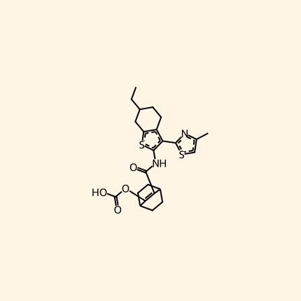 CCC1CCc2c(sc(NC(=O)C3=C(OC(=O)O)C4CCC3CC4)c2-c2nc(C)cs2)C1